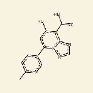 Cc1ccc(-c2cc(O)c(C([NH])=O)c3ncnn23)cc1